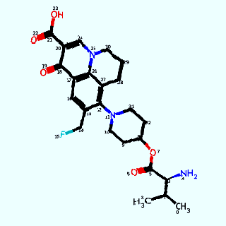 CC(C)[C@H](N)C(=O)OC1CCN(c2c(CF)cc3c(=O)c(C(=O)O)cn4c3c2CCC4)CC1